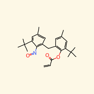 C=CC(=O)Oc1c(Cc2cc(C)cc(C(C)(C)C)c2N=O)cc(C)cc1C(C)(C)C